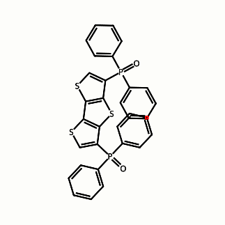 O=P(c1ccccc1)(c1ccccc1)c1csc2c1sc1c(P(=O)(c3ccccc3)c3ccccc3)csc12